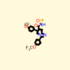 C[S+]([O-])NC(=O)c1cc2ncc(-c3ccc(OC(F)(F)F)cc3)n2cc1-c1ccc(OC(F)(F)F)cc1